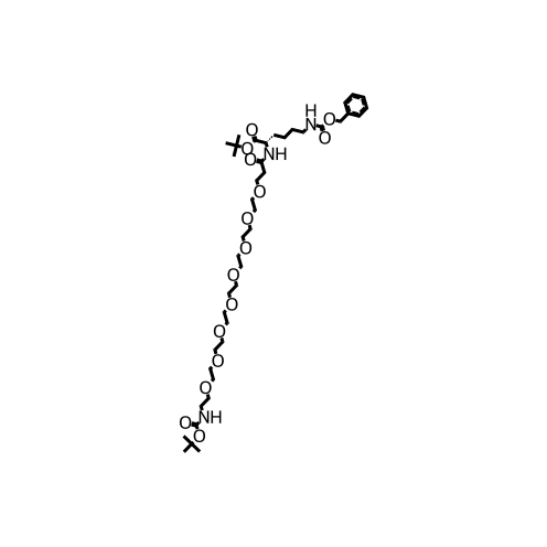 CC(C)(C)OC(=O)NCCOCCOCCOCCOCCOCCOCCOCCOCCC(=O)N[C@@H](CCCCNC(=O)OCc1ccccc1)C(=O)OC(C)(C)C